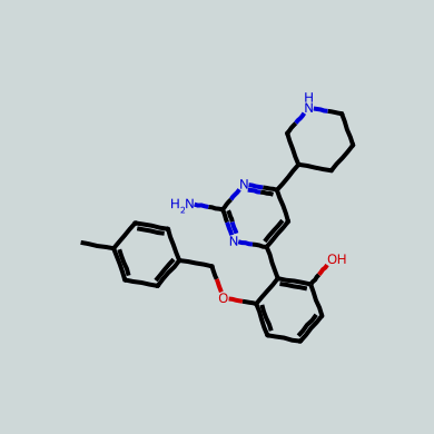 Cc1ccc(COc2cccc(O)c2-c2cc(C3CCCNC3)nc(N)n2)cc1